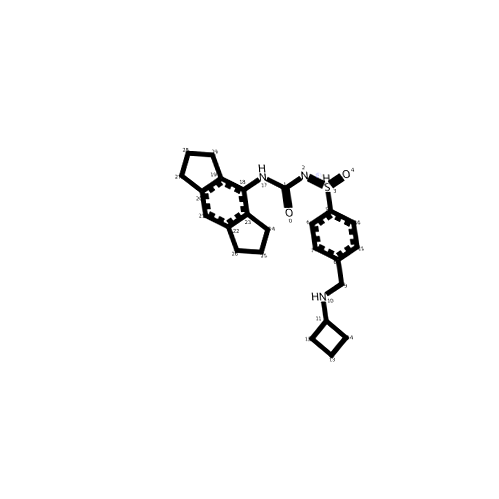 O=C(/N=[SH](=O)\c1ccc(CNC2CCC2)cc1)Nc1c2c(cc3c1CCC3)CCC2